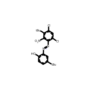 CC(C)(C)c1ccc(O)c(/N=N/c2c(Cl)cc(Cl)c(C(C)(C)C)c2[N+](=O)[O-])c1